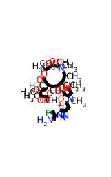 CC[C@H]1OC(=O)[C@H](C)[C@@H](C2C[C@@](C)(OC)[C@@H](O)[C@H](C)O2)[C@H](C)[C@@H](O[C@@H]2O[C@H](C)C[C@H](N(C)CCc3cn(C(CN)CF)nn3)[C@H]2O)[C@](C)(O)C[C@@H](C)CN(C)[C@H](C)[C@@H](O)[C@]1(C)O